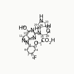 O=C(O)COc1cc(F)ccc1-n1ncc2c(O)nc(N3CCO[C@@H]4CNC[C@@H]43)nc21